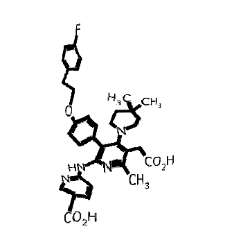 Cc1nc(Nc2ccc(C(=O)O)cn2)c(-c2ccc(OCCc3ccc(F)cc3)cc2)c(N2CCC(C)(C)CC2)c1CC(=O)O